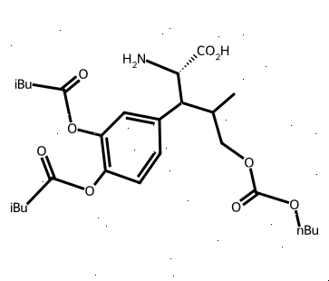 CCCCOC(=O)OCC(C)C(c1ccc(OC(=O)C(C)CC)c(OC(=O)C(C)CC)c1)[C@H](N)C(=O)O